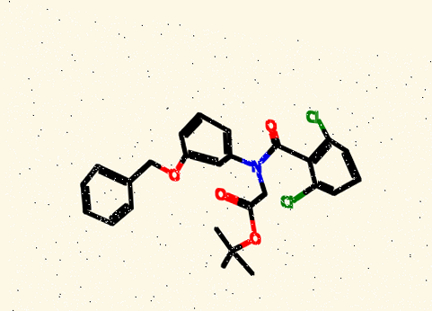 CC(C)(C)OC(=O)CN(C(=O)c1c(Cl)cccc1Cl)c1cccc(OCc2ccccc2)c1